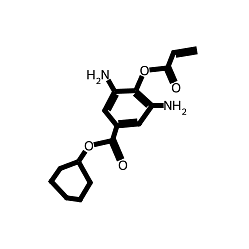 C=CC(=O)Oc1c(N)cc(C(=O)OC2CCCCC2)cc1N